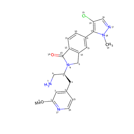 COc1cc(C[C@@H](CN)N2Cc3cc(-c4c(Cl)cnn4C)ccc3C2=O)ccn1